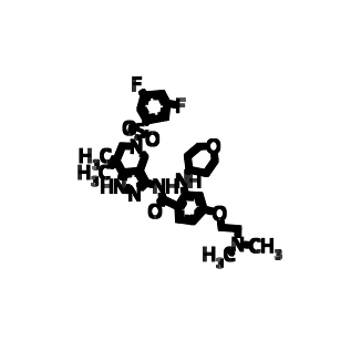 CN(C)CCOc1ccc(C(=O)Nc2n[nH]c3c2CN(S(=O)(=O)c2cc(F)cc(F)c2)CC3(C)C)c(NC2CCOCC2)c1